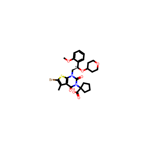 COc1ccccc1[C@H](Cn1c(=O)n(C2(C(=O)O)CCCC2)c(=O)c2c(C)c(Br)sc21)OC1CCOCC1